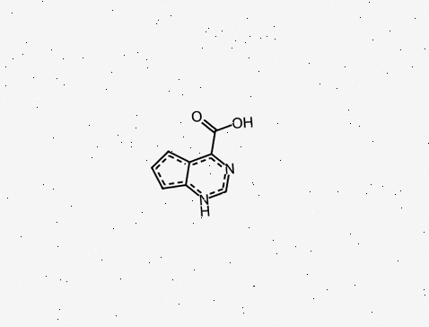 O=C(O)c1nc[nH]c2cccc1-2